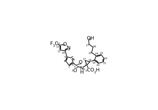 O=C(O)[C@@]1(NS(=O)(=O)c2ccc(-c3cc(C(F)(F)F)on3)s2)C[C@H]1c1ccccc1CCCO